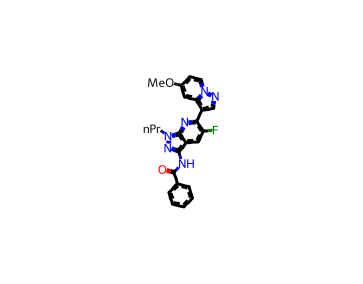 CCCn1nc(NC(=O)c2ccccc2)c2cc(F)c(-c3cnn4ccc(OC)cc34)nc21